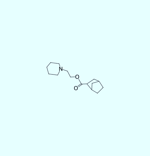 O=C(OCCN1CCCCC1)C1CC2CCC1C2